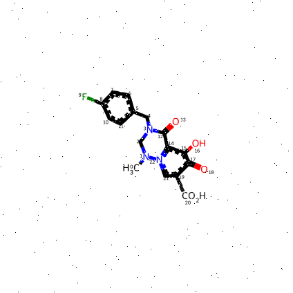 CN1CN(Cc2ccc(F)cc2)C(=O)c2c(O)c(=O)c(C(=O)O)cn21